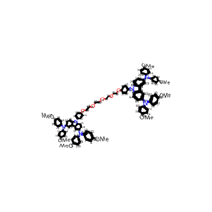 COc1ccc(N(c2ccc(OC)cc2)c2ccc3c(c2)c2cc(N(c4ccc(OC)cc4)c4ccc(OC)cc4)ccc2n3-c2ccc(OCCOCCOCCOCCOc3ccc(-n4c5ccc(N(c6ccc(OC)cc6)c6ccc(OC)cc6)cc5c5cc(N(c6ccc(OC)cc6)c6ccc(OC)cc6)ccc54)cc3)cc2)cc1